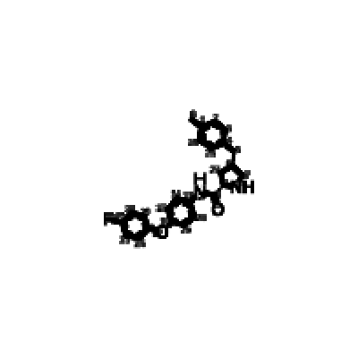 Cc1ccc(C[C@H]2CN[C@H](C(=O)Nc3ccc(Oc4ccc(F)cc4)cc3)C2)cc1